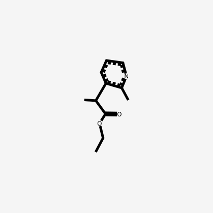 CCOC(=O)C(C)c1cccnc1C